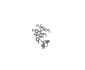 C[C@@H]1C[C@H]([C@H](c2ccc(F)cc2)[C@H](N)C(O)Nc2c(F)ccc(F)c2CC[C@H]2CN[C@@H]3CCCS(=O)(=O)N2C3)C[C@H](C)O1